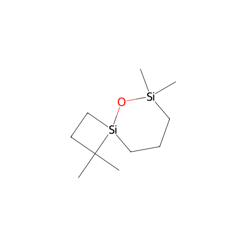 CC1(C)CC[Si]12CCC[Si](C)(C)O2